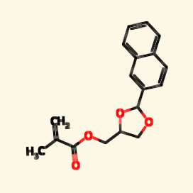 C=C(C)C(=O)OCC1COC(c2ccc3ccccc3c2)O1